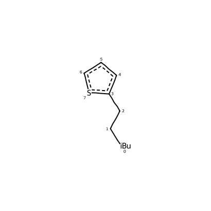 [CH2]C(CC)CCc1cccs1